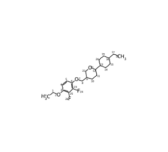 CCOc1ccc(OCC2CCC(C3CCC(CC)CC3)OC2)c(F)c1F